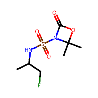 CC(CF)NS(=O)(=O)N1C(=O)OC1(C)C